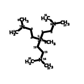 CN(C)C[CH2][Sn]([CH3])([CH2]CN(C)C)[CH2]CN(C)C